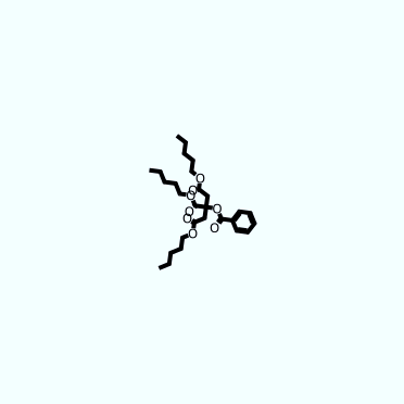 CCCCCOC(=O)CC(CC(=O)OCCCCC)(OC(=O)c1ccccc1)C(=O)OCCCCC